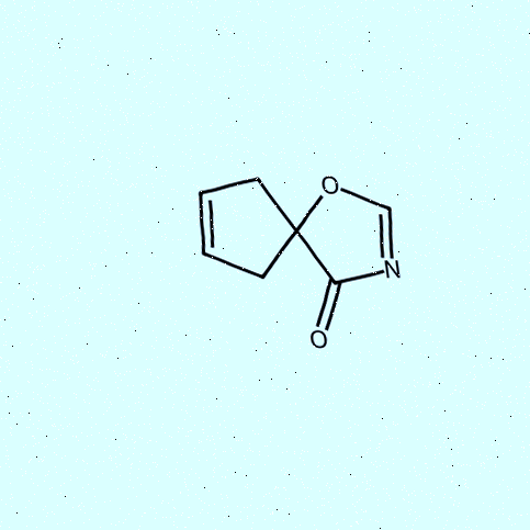 O=C1N=COC12CC=CC2